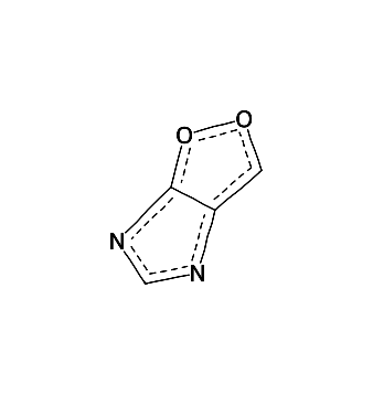 c1nc2cooc-2n1